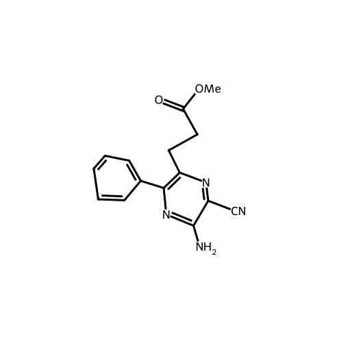 COC(=O)CCc1nc(C#N)c(N)nc1-c1ccccc1